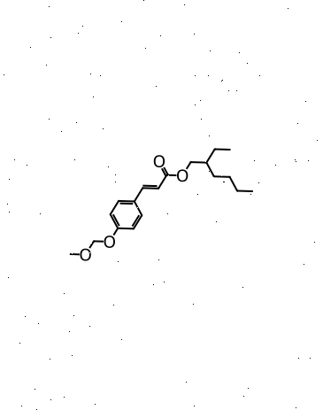 CCCCC(CC)COC(=O)/C=C/c1ccc(OCOC)cc1